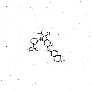 CC(C)n1c(=O)c2cnc(Nc3ccc4c(c3)CCNC4)nc2n1-c1ccnc(C2(O)COC2)c1